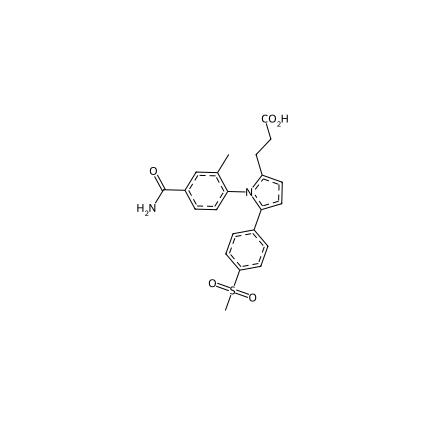 Cc1cc(C(N)=O)ccc1-n1c(CCC(=O)O)ccc1-c1ccc(S(C)(=O)=O)cc1